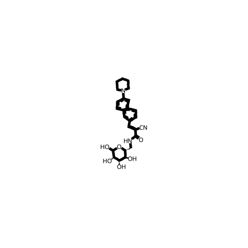 N#C/C(=C\c1ccc2cc(N3CCCCC3)ccc2c1)C(=O)NC[C@H]1OC(O)[C@@H](O)[C@@H](O)[C@@H]1O